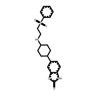 O=c1[nH]c2ccc(C3CCC(NCCS(=O)(=O)c4ccccc4)CC3)cc2o1